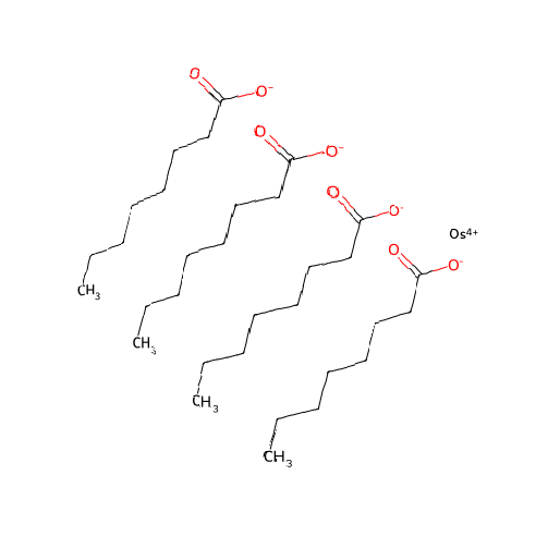 CCCCCCCC(=O)[O-].CCCCCCCC(=O)[O-].CCCCCCCC(=O)[O-].CCCCCCCC(=O)[O-].[Os+4]